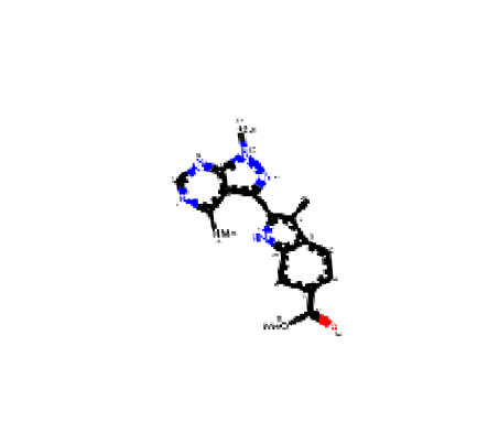 CNc1ncnc2c1c(-c1[nH]c3cc(C(=O)OC)ccc3c1C)nn2C(C)(C)C